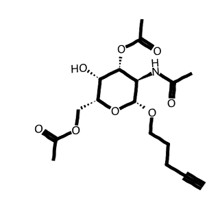 C#CCCCO[C@@H]1O[C@H](COC(C)=O)[C@H](O)[C@H](OC(C)=O)[C@H]1NC(C)=O